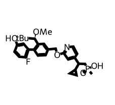 CO[C@H](c1cc(COc2cc(C(CP(C)(=O)O)C3CC3)ccn2)ccc1-c1cc(O)ccc1F)C(C)(C)C